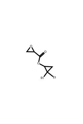 CCC1(CC)CC1OC(=O)C1CO1